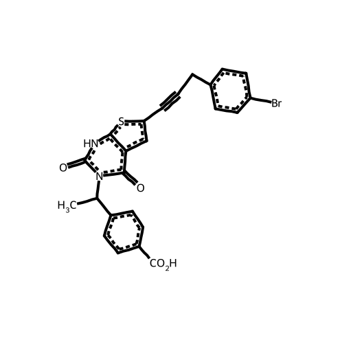 CC(c1ccc(C(=O)O)cc1)n1c(=O)[nH]c2sc(C#CCc3ccc(Br)cc3)cc2c1=O